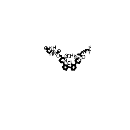 COc1nc(-c2cccc(-c3cccc(-c4ccn5c(=O)c(CNCC(F)F)cnc5c4)c3Cl)c2Cl)ccc1COC(=O)NC[C@@H]1CCC(=O)N1